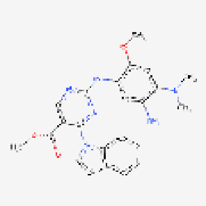 COC(=O)c1cnc(Nc2cc(N)c(N(C)C)cc2OC)nc1-n1ccc2ccccc21